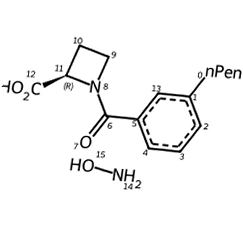 CCCCCc1cccc(C(=O)N2CC[C@@H]2C(=O)O)c1.NO